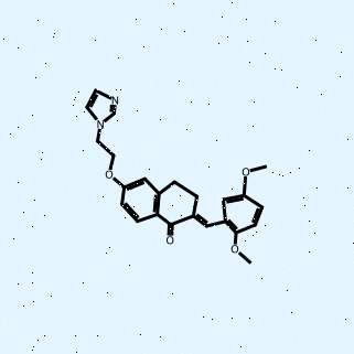 COc1ccc(OC)c(/C=C2\CCc3cc(OCCn4ccnc4)ccc3C2=O)c1